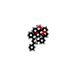 CC1(C)c2ccccc2C2(c3ccccc3Sc3ccccc32)c2cc(-c3ccccc3-c3cc(-c4ccccc4)nc(-c4cccc(-c5ccccn5)c4)n3)ccc21